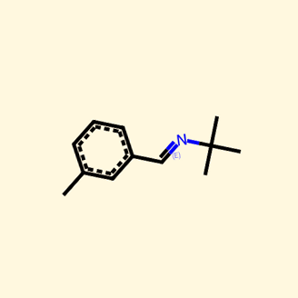 Cc1cccc(/C=N/C(C)(C)C)c1